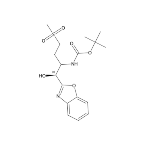 CC(C)(C)OC(=O)NC(CCS(C)(=O)=O)[C@H](O)c1nc2ccccc2o1